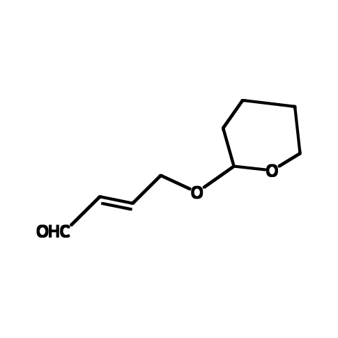 O=CC=CCOC1CCCCO1